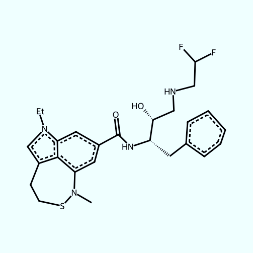 CCn1cc2c3c(cc(C(=O)N[C@@H](Cc4ccccc4)[C@H](O)CNCC(F)F)cc31)N(C)SCC2